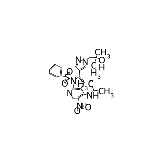 CC(C)Nc1c([N+](=O)[O-])cnc2c1cc(-c1cnn(CC(C)(C)O)c1)n2S(=O)(=O)c1ccccc1